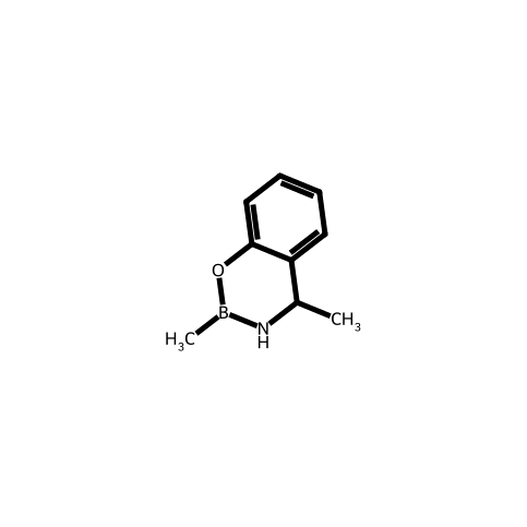 CB1NC(C)c2ccccc2O1